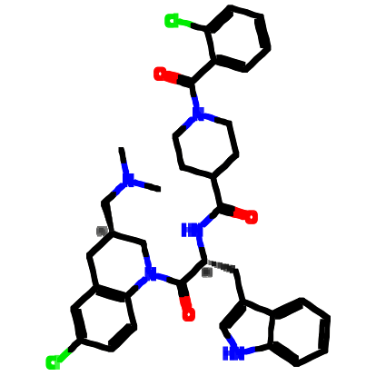 CN(C)C[C@@H]1Cc2cc(Cl)ccc2N(C(=O)[C@@H](Cc2c[nH]c3ccccc23)NC(=O)C2CCN(C(=O)c3ccccc3Cl)CC2)C1